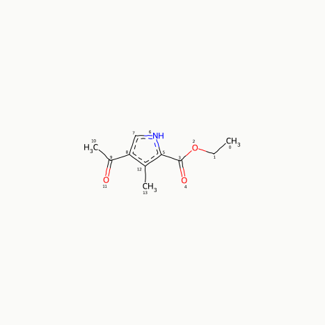 CCOC(=O)c1[nH]cc(C(C)=O)c1C